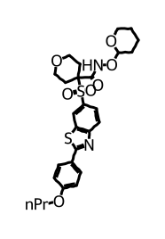 CCCOc1ccc(-c2nc3ccc(S(=O)(=O)C4(C(=O)NOC5CCCCO5)CCOCC4)cc3s2)cc1